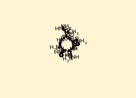 CC(=O)N[C@H](CCCNC(=N)N)C(=O)N[C@H]1CC(=O)NCCCC[C@@H](CN)NC(=O)[C@H](Cc2c[nH]c3ccccc23)NC(=O)[C@H](CCCNC(=N)N)NC(=O)[C@@H](Cc2ccccc2)NC(=O)[C@H](CCC(N)=O)NC1=O